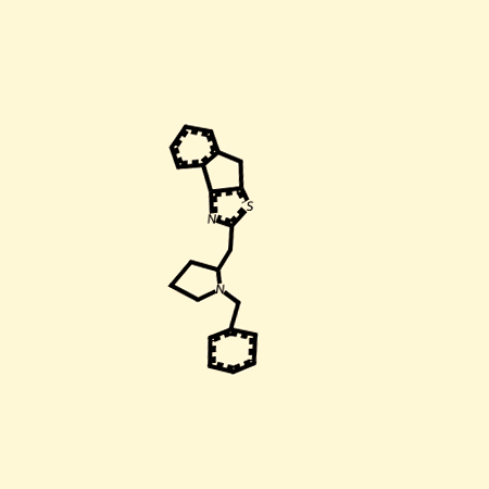 c1ccc(CN2CCCC2Cc2nc3c(s2)Cc2ccccc2-3)cc1